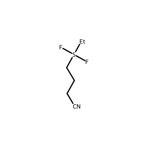 CCS(F)(F)CCCC#N